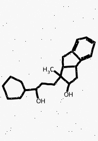 CC1(CCC(O)C2CCCCC2)C(O)CC2c3ccccc3CC21